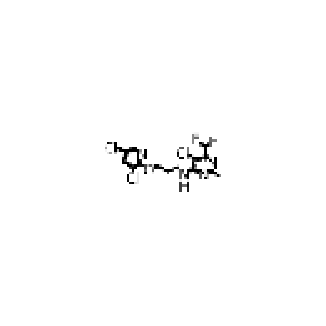 Cc1nc(NCCCOc2ncc(Cl)cc2Cl)c(Cl)c(C(F)F)n1